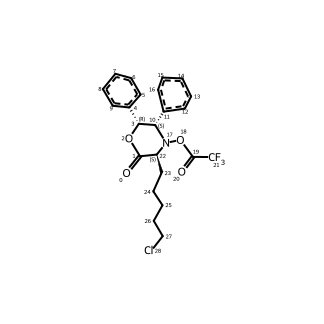 O=C1O[C@H](c2ccccc2)[C@H](c2ccccc2)N(OC(=O)C(F)(F)F)[C@H]1CCCCCCl